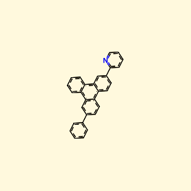 c1ccc(-c2ccc3c4ccc(-c5ccccn5)cc4c4ccccc4c3c2)cc1